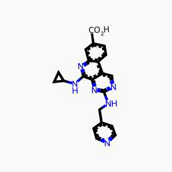 O=C(O)c1ccc2c(c1)nc(NC1CC1)c1nc(NCc3ccncc3)ncc12